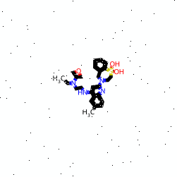 CCN(CCNc1cc(N2CCS(O)(O)c3ccccc3C2)nc2ccc(C)cc12)C1COC1